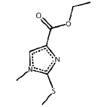 CCOC(=O)c1cn(C)c(SC)n1